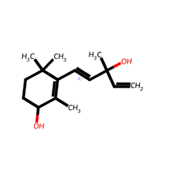 C=CC(C)(O)/C=C/C1=C(C)C(O)CCC1(C)C